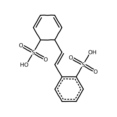 O=S(=O)(O)c1ccccc1C=CC1C=CC=CC1S(=O)(=O)O